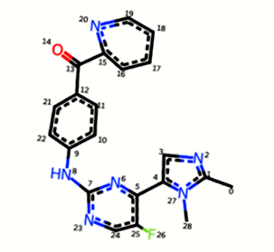 Cc1ncc(-c2nc(Nc3ccc(C(=O)c4ccccn4)cc3)ncc2F)n1C